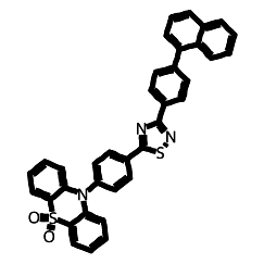 O=S1(=O)c2ccccc2N(c2ccc(-c3nc(-c4ccc(-c5cccc6ccccc56)cc4)ns3)cc2)c2ccccc21